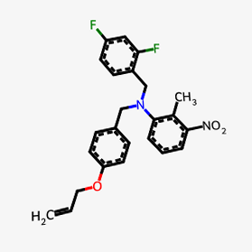 C=CCOc1ccc(CN(Cc2ccc(F)cc2F)c2cccc([N+](=O)[O-])c2C)cc1